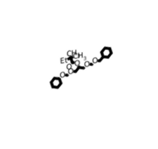 CCC(C)(C)C(=O)OC(COCOCC1CCCCC1)COCOC1CCCCC1